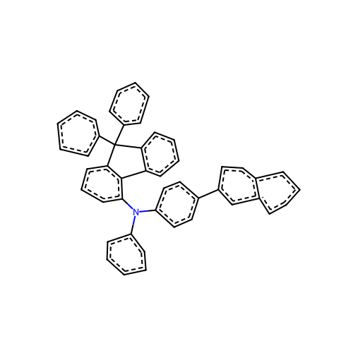 c1ccc(N(c2ccc(-c3ccc4ccccc4c3)cc2)c2cccc3c2-c2ccccc2C3(c2ccccc2)c2ccccc2)cc1